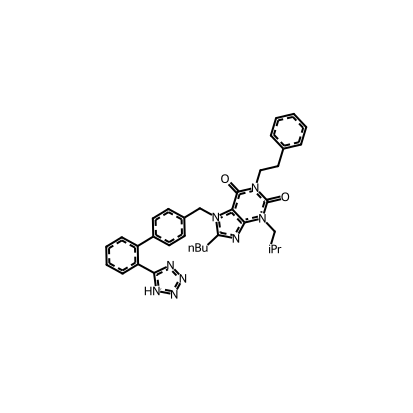 CCCCc1nc2c(c(=O)n(CCc3ccccc3)c(=O)n2CC(C)C)n1Cc1ccc(-c2ccccc2-c2nnn[nH]2)cc1